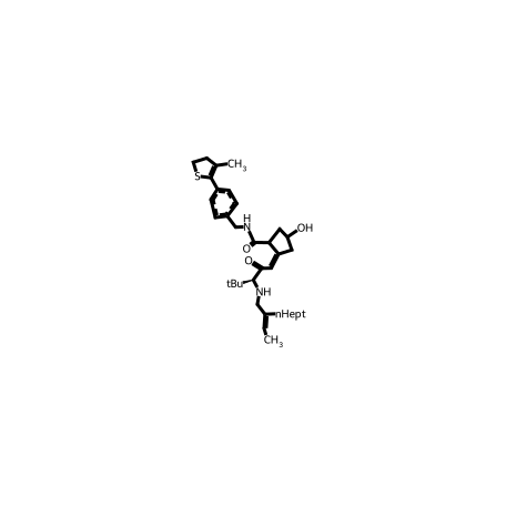 C/C=C(\CCCCCCC)CN[C@H](C(=O)/C=C1/CC(O)CC1C(=O)NCc1ccc(C2=C(C)CCS2)cc1)C(C)(C)C